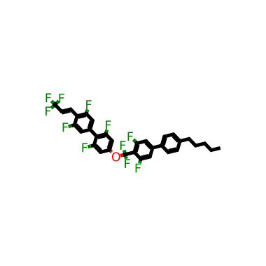 CCCCCc1ccc(-c2cc(F)c(C(F)(F)Oc3cc(F)c(-c4cc(F)c(/C=C/C(F)(F)F)c(F)c4)c(F)c3)c(F)c2)cc1